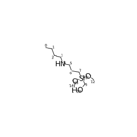 CCCCNCCC[Si](CO)(OC)OC